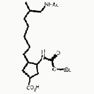 CC(=O)NCC(C)CCCCCC1CC(C(=O)O)CC1NC(=O)OC(C)(C)C